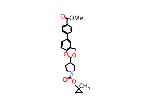 COC(=O)c1ccc(-c2ccc3c(c2)COC(C2CCN(C(=O)OCC4(C)CC4)CC2)O3)cc1